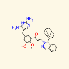 COc1cc(Cc2cnc(N)nc2N)cc(C(=O)/C=C/N2N=Cc3ccccc3C2C2C3CC4CC(C3)CC2C4)c1OC